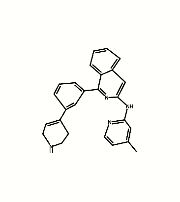 Cc1ccnc(Nc2cc3ccccc3c(-c3cccc(C4=CCNCC4)c3)n2)c1